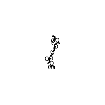 C=CC(=O)OC(C)C(=O)OCCOCCOC(=O)C(C)OC(=O)C=C